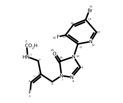 O=C(O)NC/C(=C/F)Cn1ncn(-c2ncc(Br)cc2F)c1=O